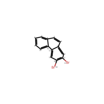 Brc1cc2ccc3ccccc3c2cc1Br